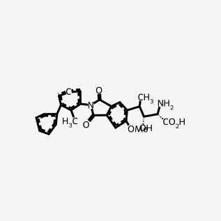 COc1cc2c(cc1C(C)[C@@H](O)[C@H](N)C(=O)O)C(=O)N(c1cccc(-c3ccccc3)c1C)C2=O